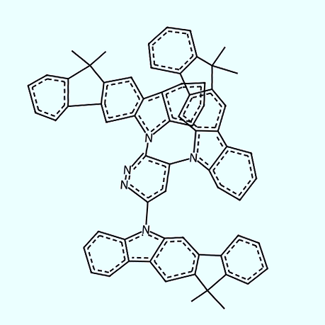 CC1(C)c2ccccc2-c2cc3c(cc21)c1ccccc1n3-c1cc(-n2c3ccccc3c3cc4c(cc32)-c2ccccc2C4(C)C)c(-n2c3ccccc3c3cc4c(cc32)-c2ccccc2C4(C)C)nn1